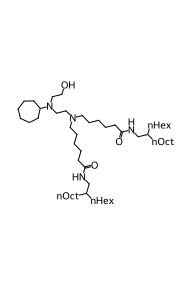 CCCCCCCCC(CCCCCC)CNC(=O)CCCCCN(CCCCCC(=O)NCC(CCCCCC)CCCCCCCC)CCN(CCO)C1CCCCCC1